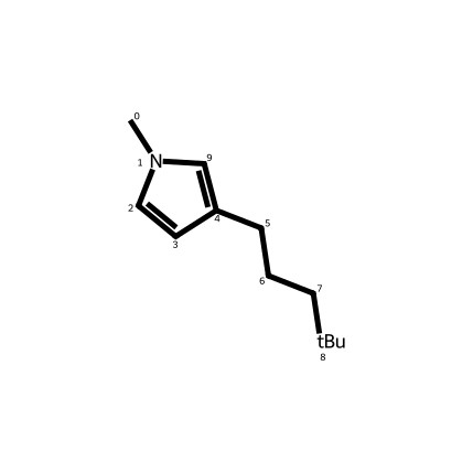 Cn1ccc(CCCC(C)(C)C)c1